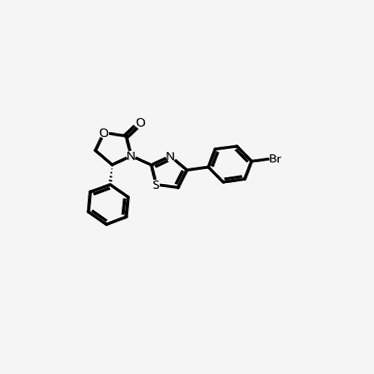 O=C1OC[C@@H](c2ccccc2)N1c1nc(-c2ccc(Br)cc2)cs1